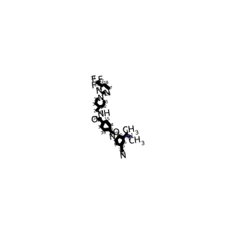 C/C=C(/C)c1cc(C#N)cc2nc(-c3ccc(C(=O)NCC4CCN(c5nccc(C(F)(F)F)n5)CC4)cc3)oc12